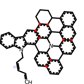 C=C/C=C\Cn1c2ccccc2c2cccc(-c3ccccc3N(c3ccccc3-c3ccccc3)c3ccccc3-c3cccc4cccc(C5CCCCC5)c34)c21